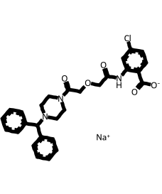 O=C(COCC(=O)N1CCN(C(c2ccccc2)c2ccccc2)CC1)Nc1cc(Cl)ccc1C(=O)[O-].[Na+]